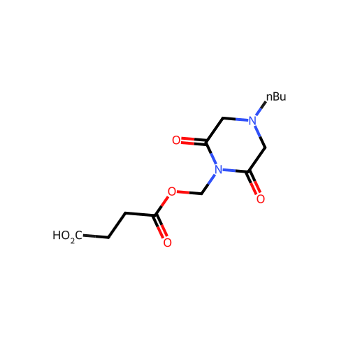 CCCCN1CC(=O)N(COC(=O)CCC(=O)O)C(=O)C1